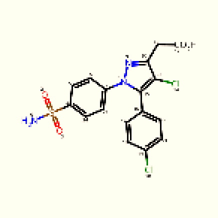 NS(=O)(=O)c1ccc(-n2nc(CC(=O)O)c(Cl)c2-c2ccc(Cl)cc2)cc1